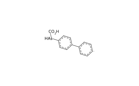 O=C(O)[AsH]c1ccc(-c2cc[c]cc2)cc1